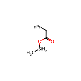 CCCCC(=O)O[SiH2]C